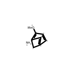 COc1ccc2cc1C2.N